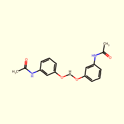 CC(=O)Nc1cccc(OBOc2cccc(NC(C)=O)c2)c1